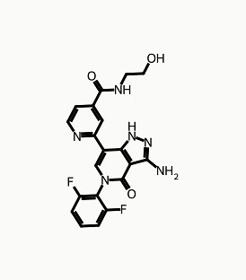 Nc1n[nH]c2c(-c3cc(C(=O)NCCO)ccn3)cn(-c3c(F)cccc3F)c(=O)c12